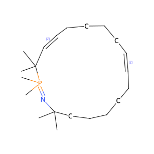 CC1(C)CCCCC/C=C\CCCC/C=C\C(C)(C)P(C)(C)=N1